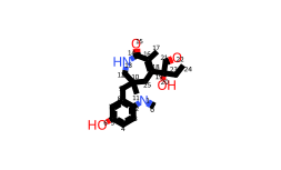 C=Nc1ccc(O)cc1CC1(C)CNC(=O)C(C)=C(C(O)(C=O)CC)C1